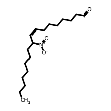 CCCCCCCCC(/C=C\CCCCCC[C]=O)[N+](=O)[O-]